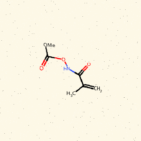 C=C(C)C(=O)NOC(=O)OC